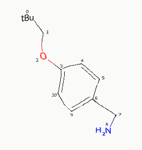 CC(C)(C)COc1ccc(CN)cc1